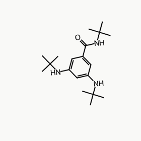 CC(C)(C)NC(=O)c1cc(NC(C)(C)C)cc(NC(C)(C)C)c1